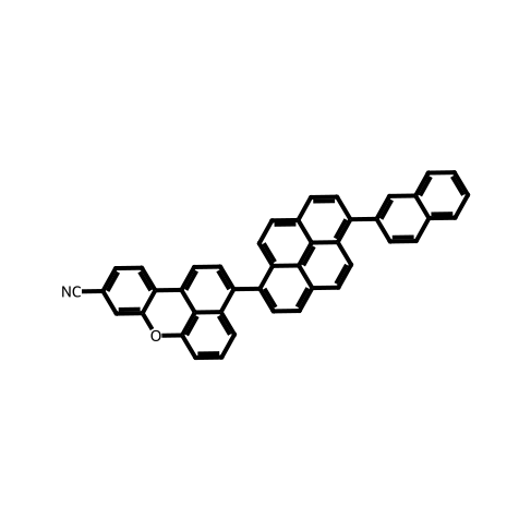 N#Cc1ccc2c(c1)Oc1cccc3c(-c4ccc5ccc6c(-c7ccc8ccccc8c7)ccc7ccc4c5c76)ccc-2c13